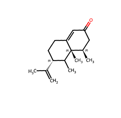 C=C(C)[C@@H]1CCC2=CC(=O)C[C@@H](C)[C@]2(C)C1C